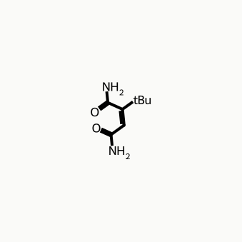 CC(C)(C)/C(=C/C(N)=O)C(N)=O